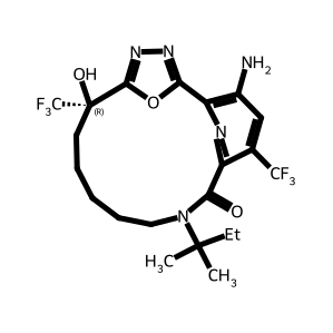 CCC(C)(C)N1CCCCC[C@](O)(C(F)(F)F)c2nnc(o2)-c2nc(c(C(F)(F)F)cc2N)C1=O